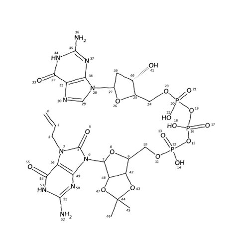 C=CCn1c(=O)n(C2OC(COP(=O)(O)OP(=O)(O)OP(=O)(O)OCC3OC(n4cnc5c(=O)[nH]c(N)nc54)C[C@@H]3O)C3OC(C)(C)OC32)c2nc(N)[nH]c(=O)c21